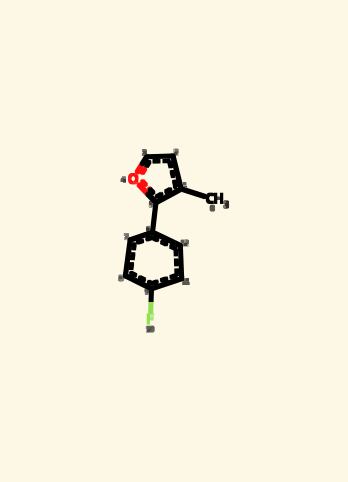 Cc1ccoc1-c1ccc(F)cc1